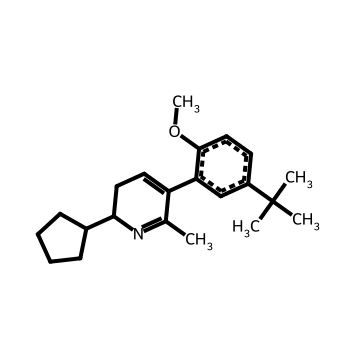 COc1ccc(C(C)(C)C)cc1C1=CCC(C2CCCC2)N=C1C